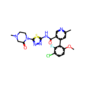 COc1ccc(Cl)c(F)c1-c1cc(C)ncc1C(=O)Nc1nnc(N2CCN(C)CC2=O)s1